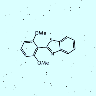 COc1cccc(OC)c1-c1nc2ccccc2s1